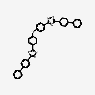 C1=C(Oc2ccc(-c3nnc(C4=CC=C(c5ccccc5)CC4)o3)cc2)CCC(c2nnc(-c3ccc(-c4ccccc4)cc3)o2)=C1